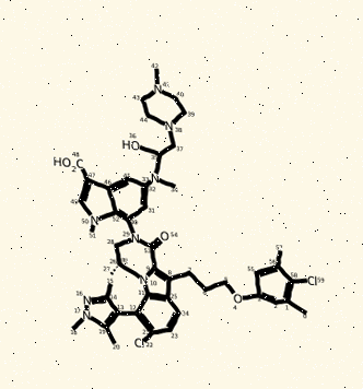 Cc1cc(OCCCc2c3n(c4c(-c5c(C)nn(C)c5C)c(Cl)ccc24)[C@H](C)CN(c2cc(N(C)C(O)CN4CCN(C)CC4)cc4c(C(=O)O)cn(C)c24)C3=O)cc(C)c1Cl